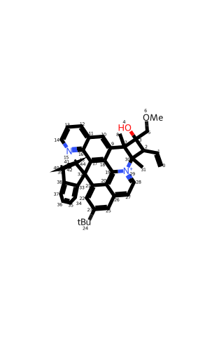 C=CC1C(O)(COC)C2(C)c3cc4cccnc4c4c3-c3c5c(cc(C(C)(C)C)cc5cc[n+]3C12C)C41c2ccccc2-c2ccccc21